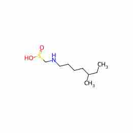 CCC(C)CCCCNCS(=O)O